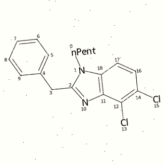 CCCCCn1c(Cc2ccccc2)nc2c(Cl)c(Cl)ccc21